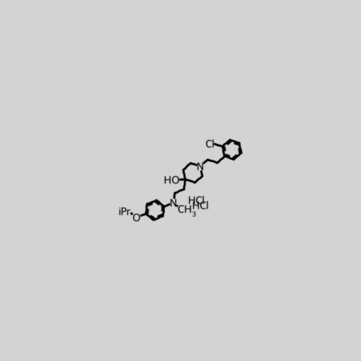 CC(C)Oc1ccc(N(C)CCC2(O)CCN(CCc3ccccc3Cl)CC2)cc1.Cl.Cl